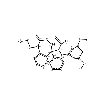 CCc1cc(CC)nc(O[C@H](C(=O)O)[C@@]2(c3ccccc3)NCC(=O)N(CCO)c3ccccc32)n1